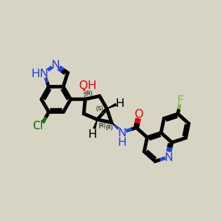 O=C(N[C@H]1[C@@H]2C[C@@](O)(c3cc(Cl)cc4[nH]ncc34)C[C@@H]21)c1ccnc2ccc(F)cc12